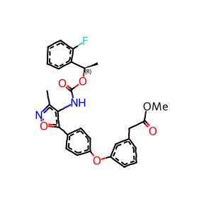 COC(=O)Cc1cccc(Oc2ccc(-c3onc(C)c3NC(=O)O[C@H](C)c3ccccc3F)cc2)c1